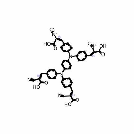 [C-]#[N+]/C(=C\c1ccc(N(c2ccc(/C=C(/[N+]#[C-])C(=O)O)cc2)c2ccc(N(c3ccc(/C=C(/C#N)C(=O)O)cc3)c3ccc(/C=C(\C#N)C(=O)O)cc3)cc2)cc1)C(=O)O